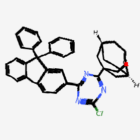 Clc1nc(-c2ccc3c(c2)C(c2ccccc2)(c2ccccc2)c2ccccc2-3)nc(C23CCC4C[C@H](C[C@@H](C4)C2)C3)n1